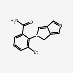 CCc1cccc(C(N)=O)c1N1C=C2C=NC=C2C1